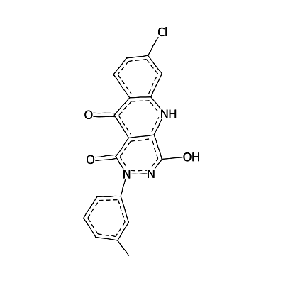 Cc1cccc(-n2nc(O)c3[nH]c4cc(Cl)ccc4c(=O)c3c2=O)c1